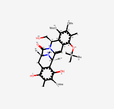 COc1c(C)c(O)c2c(c1O)[C@@H]1C3=Cc4c(O[Si](C)(C)C(C)(C)C)c(C)c(OC)c(OC)c4[C@H](CO)N3C(=O)[C@@H](C2)N1C